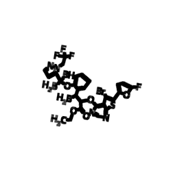 BC(c1ccccc1OC(B)(B)c1ccnn1CC(F)(F)F)C(Oc1ncnc2sc(-c3ccc(F)o3)c(Br)c12)C(=O)OCC